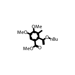 C=C(OCCCC)c1c(C(=O)OC)cc(OC)c(OC)c1C